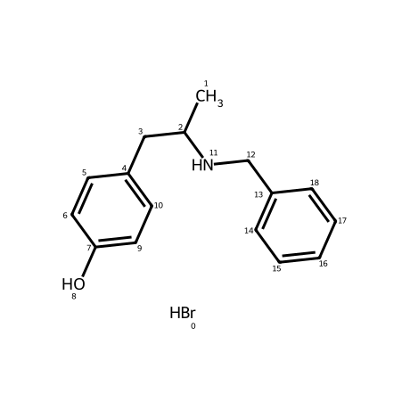 Br.CC(Cc1ccc(O)cc1)NCc1ccccc1